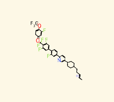 C/C=C/CCC1CCC(c2ccc(-c3ccc(-c4cc(F)c(C(F)(F)O[C@H]5C=C(F)C(OC(F)(F)F)=CC5)c(F)c4)c(F)c3)nc2)CC1